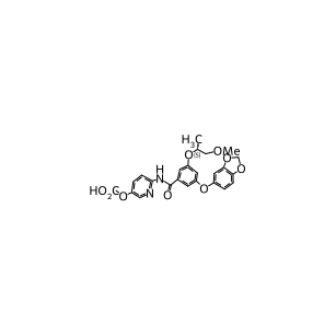 COC[C@H](C)Oc1cc(Oc2ccc3c(c2)OCO3)cc(C(=O)Nc2ccc(OC(=O)O)cn2)c1